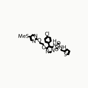 CSc1cnc(OCCOc2ncnc(NS(=O)(=O)NCc3cccs3)c2-c2ccc(Cl)cc2)nc1